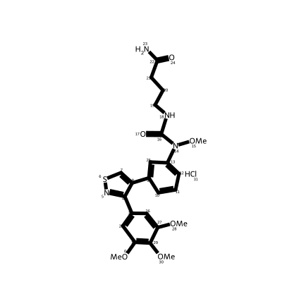 COc1cc(-c2nscc2-c2cccc(N(OC)C(=O)NCCCC(N)=O)c2)cc(OC)c1OC.Cl